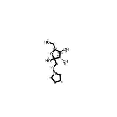 OC[C@@H]1OC(O)(CON2CCCC2)[C@@H](O)[C@@H]1O